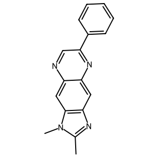 Cc1nc2cc3nc(-c4ccccc4)cnc3cc2n1C